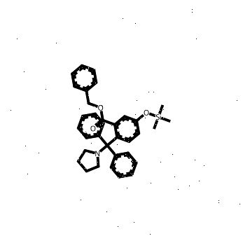 C[Si](C)(C)Oc1ccc(C(c2ccccc2)(c2ccccc2)N2CCCC2)c(C(=O)OCc2ccccc2)c1